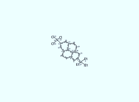 CC[Si](CC)(CC)c1cc2ccc3cc([Si](Cl)(Cl)Cl)cc4ccc(c1)c2c34